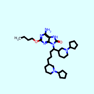 CCCCOc1nc(N)c2[nH]c(=O)n(C(CCCC3CCCN(C4CCCC4)C3)C3CCCN(C4CCCC4)C3)c2n1